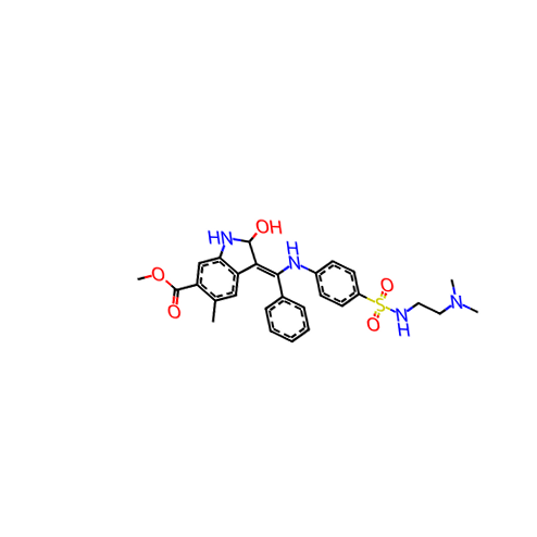 COC(=O)c1cc2c(cc1C)/C(=C(/Nc1ccc(S(=O)(=O)NCCN(C)C)cc1)c1ccccc1)C(O)N2